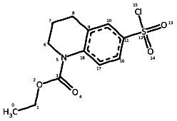 CCOC(=O)N1CCCc2cc(S(=O)(=O)Cl)ccc21